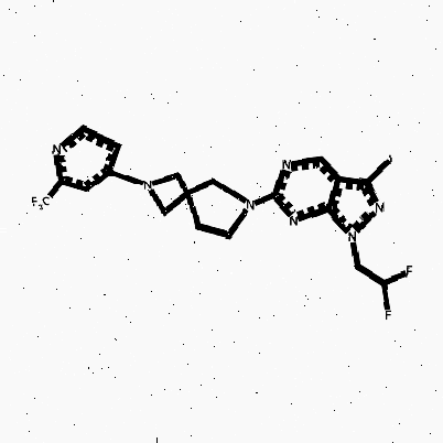 FC(F)Cn1nc(I)c2cnc(N3CCC4(CN(c5ccnc(C(F)(F)F)c5)C4)C3)nc21